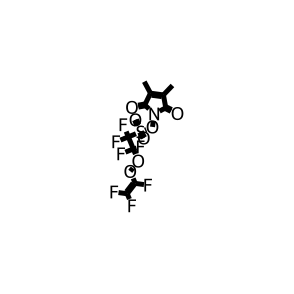 CC1=C(C)C(=O)N(OS(=O)(=O)C(F)(F)C(F)(F)OOC(F)=C(F)F)C1=O